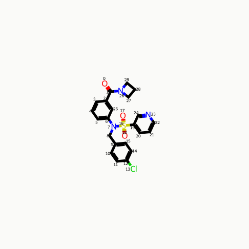 O=C(c1cccc(N(Cc2ccc(Cl)cc2)S(=O)(=O)c2cccnc2)c1)N1CCC1